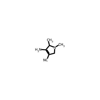 CC1C(N)=C(C#N)CN1C